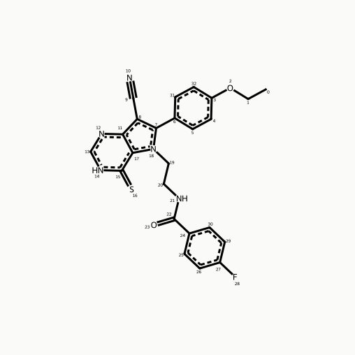 CCOc1ccc(-c2c(C#N)c3nc[nH]c(=S)c3n2CCNC(=O)c2ccc(F)cc2)cc1